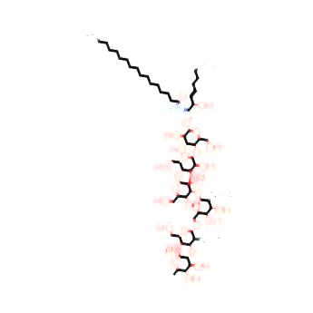 CCCCCCCCCCCCC/C=C/[C@@H](O)[C@H](CO[C@@H]1OC(CO)[C@@H](O[C@@H]2OC(CO)[C@H](O[C@@H]3OC(CO)[C@H](O)[C@H](O[C@@H]4OC(CO[C@@H]5OC(CO)[C@@H](O)[C@H](O[C@H]6C(O)[C@H](O)C(C)O[C@H]6O)C5NC(C)=O)[C@H](O)[C@H](O)C4NC(C)=O)C3O)[C@H](O)C2O)[C@H](O)C1O)NC(=O)CCCCCCCCCCCCCCCCCCCCCCCCC